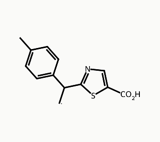 [CH2]C(c1ccc(C)cc1)c1ncc(C(=O)O)s1